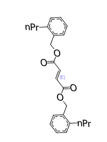 CCCc1ccccc1COC(=O)/C=C/C(=O)OCc1ccccc1CCC